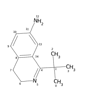 CC(C)(C)C1=NCCc2ccc(N)cc21